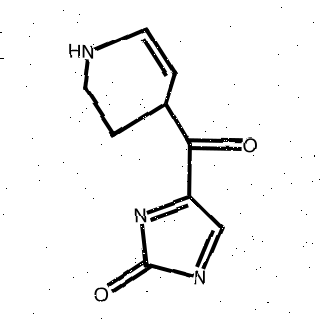 O=C1N=CC(C(=O)C2C=CNCC2)=N1